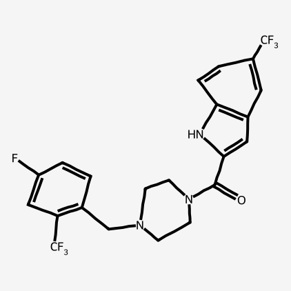 O=C(c1cc2cc(C(F)(F)F)ccc2[nH]1)N1CCN(Cc2ccc(F)cc2C(F)(F)F)CC1